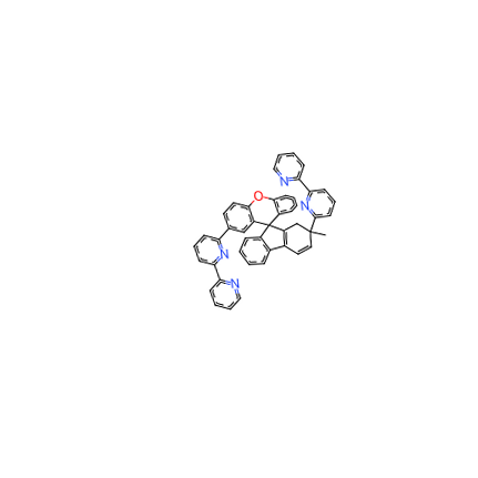 CC1(c2cccc(-c3ccccn3)n2)C=CC2=C(C1)C1(c3ccccc3Oc3ccc(-c4cccc(-c5ccccn5)n4)cc31)c1ccccc12